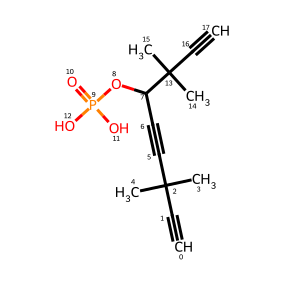 C#CC(C)(C)C#CC(OP(=O)(O)O)C(C)(C)C#C